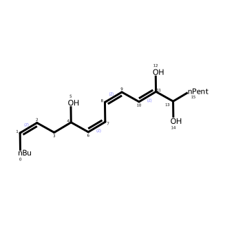 CCCC/C=C\CC(O)\C=C/C=C\C=C(/O)C(O)CCCCC